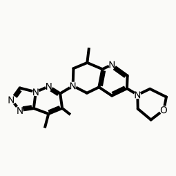 Cc1c(N2Cc3cc(N4CCOCC4)cnc3C(C)C2)nn2cnnc2c1C